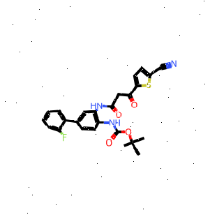 CC(C)(C)OC(=O)Nc1ccc(-c2ccccc2F)cc1NC(=O)CC(=O)c1ccc(C#N)s1